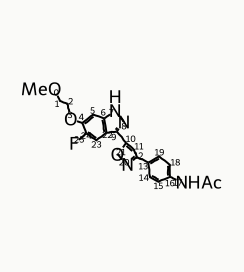 COCCOc1cc2[nH]nc(-c3cc(-c4ccc(NC(C)=O)cc4)no3)c2cc1F